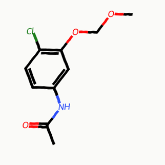 COCOc1cc(NC(C)=O)ccc1Cl